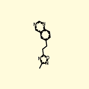 Cc1noc(CCc2ccc3ncncc3c2)n1